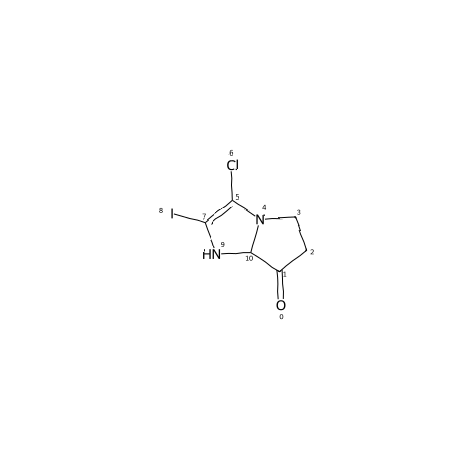 O=C1CCN2C(Cl)=C(I)NC12